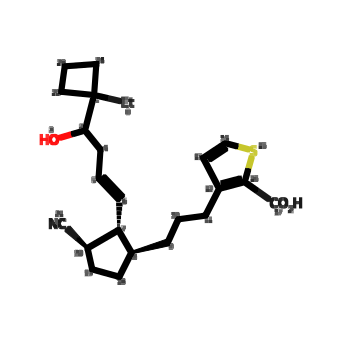 CCC1(C(O)C/C=C/[C@@H]2[C@@H](CCCc3ccsc3C(=O)O)CC[C@H]2C#N)CCC1